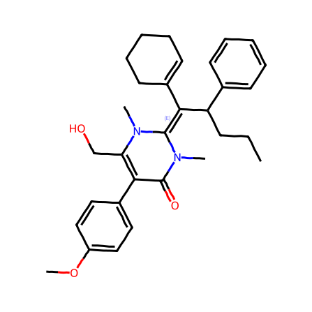 CCCC(/C(C1=CCCCC1)=C1\N(C)C(=O)C(c2ccc(OC)cc2)=C(CO)N1C)c1ccccc1